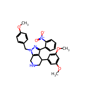 COc1ccc(Cn2nc(-c3ccccc3[N+](=O)[O-])c3c2CNCC3c2cc(OC)cc(OC)c2)cc1